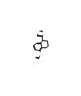 CC(C)NC(=O)Nc1cccc2c1CCCC2c1c[nH]cn1